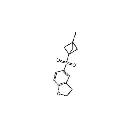 O=S(=O)(c1ccc2c(c1)CCO2)C12CC(I)(C1)C2